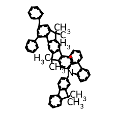 CC1(C)c2ccccc2-c2ccc(N(c3ccc4c(c3)C(C)(C)c3cc5c(cc3-4)C(C)(C)c3cc(-c4ccccc4)cc(-c4ccccc4)c3-5)c3ccccc3-c3ccccc3)cc21